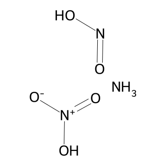 N.O=NO.O=[N+]([O-])O